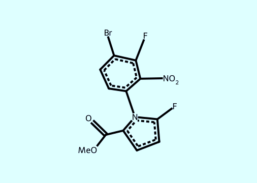 COC(=O)c1ccc(F)n1-c1ccc(Br)c(F)c1[N+](=O)[O-]